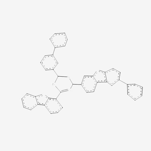 c1ccc(-c2cccc(C3NC(c4cccc5c4oc4ccccc45)=NC(c4ccc5c(c4)oc4ccc(-c6ccccc6)cc45)N3)c2)cc1